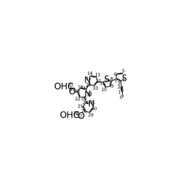 CC#Cc1sccc1-c1ccc(-c2ccnc(-c3cc(OC=O)cc(-c4cc(OC=O)ccn4)n3)c2)s1